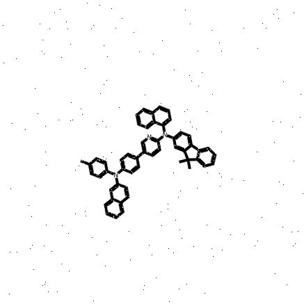 Cc1ccc(N(c2ccc(-c3ccc(N(c4ccc5c(c4)C(C)(C)c4ccccc4-5)c4cccc5ccccc45)nc3)cc2)c2ccc3ccccc3c2)cc1